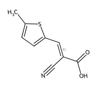 Cc1ccc(/C=C(\C#N)C(=O)O)s1